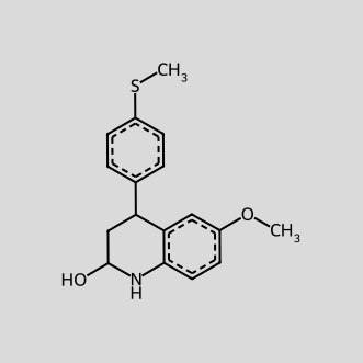 COc1ccc2c(c1)C(c1ccc(SC)cc1)CC(O)N2